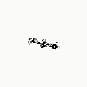 BC(B)(O)COCCn1ncc2nc(NCc3ccc(Cl)c(Cl)c3)[nH]c(=O)c21